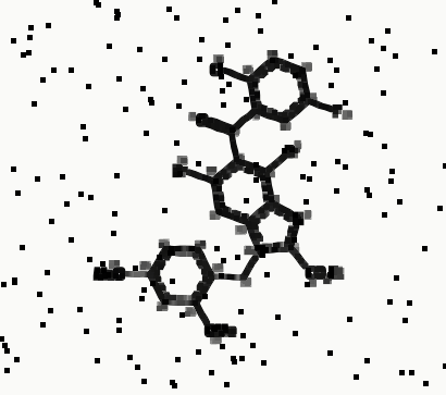 CCOC(=O)c1nc2c(Br)c(C(=O)c3cc(F)ccc3Cl)c(Br)cc2n1Cc1ccc(OC)cc1OC